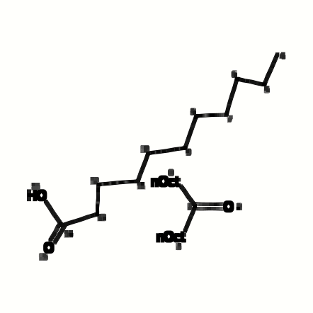 CCCCCCCCC(=O)CCCCCCCC.CCCCCCCCCCC(=O)O